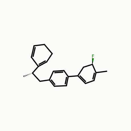 CC1=CC=C(c2ccc(C[C@H](C)C3=CCCC=C3)cc2)C[C@H]1F